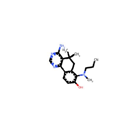 CN(CCC#N)c1c(O)ccc2c1CC(C)(C)c1c(N)ncnc1-2